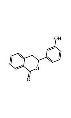 O=C1OC(c2cccc(O)c2)Cc2ccccc21